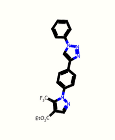 CCOC(=O)c1cnn(-c2ccc(-c3cn(-c4ccccc4)nn3)cc2)c1C(F)(F)F